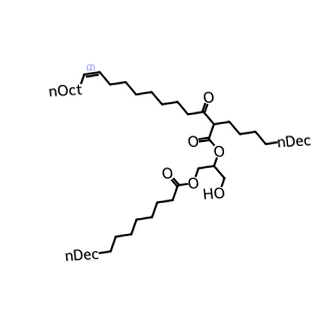 CCCCCCCC/C=C\CCCCCCCC(=O)C(CCCCCCCCCCCCCC)C(=O)OC(CO)COC(=O)CCCCCCCCCCCCCCCCC